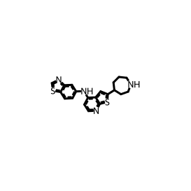 c1cc(Nc2ccc3scnc3c2)c2cc(C3CCCNCC3)sc2n1